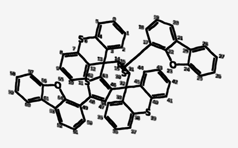 c1ccc2c(c1)Sc1ccccc1C21c2cc(-c3cccc4c3oc3ccccc34)sc2C2(c3ccccc3Sc3ccccc32)c2cc(-c3cccc4c3oc3ccccc34)sc21